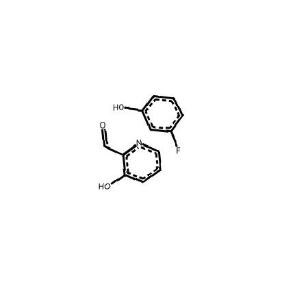 O=Cc1ncccc1O.Oc1cccc(F)c1